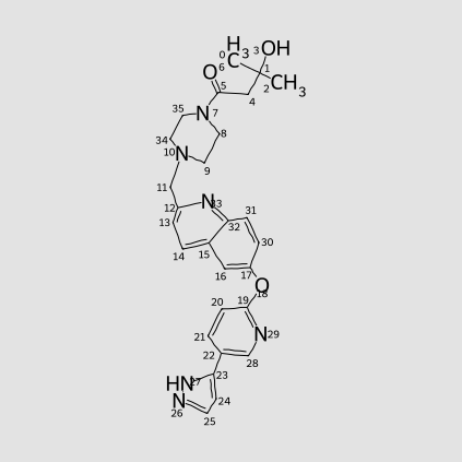 CC(C)(O)CC(=O)N1CCN(Cc2ccc3cc(Oc4ccc(-c5ccn[nH]5)cn4)ccc3n2)CC1